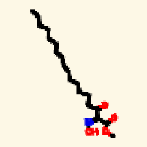 CCCCCCCCCCCCCCCC(=O)C(=NO)C(=O)OC